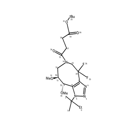 CCC(C)(C)n1nnc2c1[C@H](OC)[C@@H](OC)CN(C(=O)CCC(=O)OC(C)(C)C)CC2(F)F